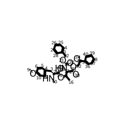 CN[C@@H](Cc1ccc(OC)cc1)C(=O)OC(C)[C@H](NC(=O)OCc1ccccc1)C(=O)OCC(=O)c1ccccc1